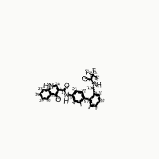 O=C(Nc1ccc(-c2ccccc2CNC(=O)C(F)(F)F)cc1)c1c[nH]c2ccccc2c1=O